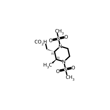 C[C@H]1[C@H](CC(=O)O)N(S(C)(=O)=O)CCN1S(C)(=O)=O